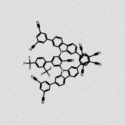 N#Cc1cc(C#N)cc(-c2ccc3c4ccc(-c5cc(C#N)cc(C#N)c5)cc4n(-c4cc(-c5ccc(C(F)(F)F)cc5C(F)(F)F)cc(-n5c6cc(-c7cc(C#N)cc(C#N)c7)ccc6c6ccc(-c7cc(C#N)cc(C#N)c7)cc65)c4C#N)c3c2)c1